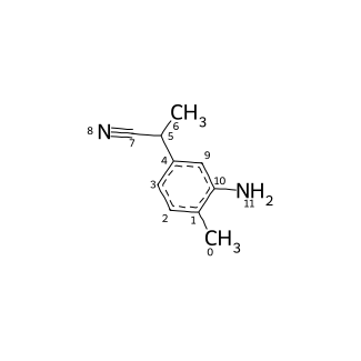 Cc1ccc(C(C)C#N)cc1N